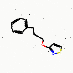 c1ccc(CCCOc2ccsn2)cc1